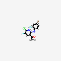 COC(=O)c1cc(F)c(Cl)nc1Nc1ccc(Br)cc1F